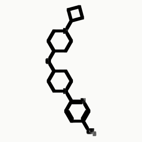 FC(F)(F)c1ccc(N2CCC(OC3CCN(C4CCC4)CC3)CC2)nc1